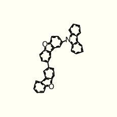 c1ccc2c(c1)oc1ccc(-c3ccc4oc5ccc(-n6c7ccccc7c7ccccc76)cc5c4c3)cc12